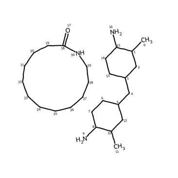 CC1CC(CC2CCC(N)C(C)C2)CCC1N.O=C1CCCCCCCCCCCN1